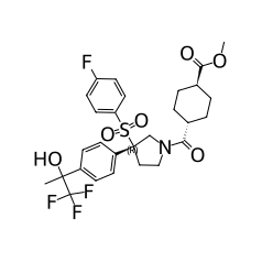 COC(=O)[C@H]1CC[C@H](C(=O)N2CC[C@](c3ccc(C(C)(O)C(F)(F)F)cc3)(S(=O)(=O)c3ccc(F)cc3)C2)CC1